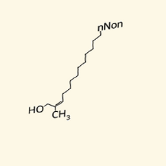 CCCCCCCCCCCCCCCCCCCC=C(C)CO